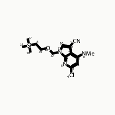 CNc1cc(Cl)nc2c1c(C#N)cn2COCC[Si](C)(C)C